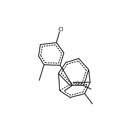 Cc1[c]c2c(-c3cc(Cl)[c]cc3C)[c]c1-c1ccc-2cc1C